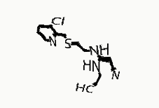 C#CCNC(=CC#N)NCCSCc1ncccc1Cl